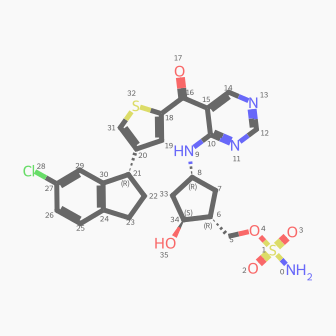 NS(=O)(=O)OC[C@H]1C[C@@H](Nc2ncncc2C(=O)c2cc([C@@H]3CCc4ccc(Cl)cc43)cs2)C[C@@H]1O